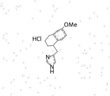 COc1ccc2c(c1)CCCC2Cc1c[nH]cn1.Cl